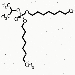 CCCCCCCCOP(=O)(OCCCCCCCC)OC(C)C